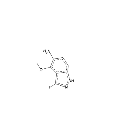 COc1c(N)ccc2[nH]nc(I)c12